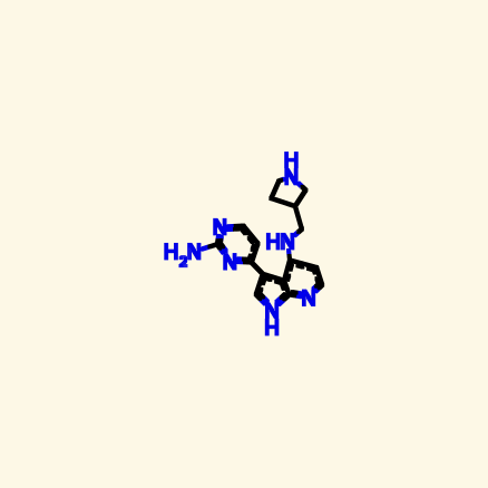 Nc1nccc(-c2c[nH]c3nccc(NCC4CCNC4)c23)n1